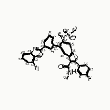 CNC(=O)c1c(-c2ccc(F)cc2)oc2cc(N(C)S(C)(=O)=O)c(-c3cccc(-c4nc5cccc(Cl)c5o4)c3)cc12